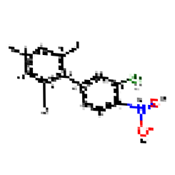 Cc1cc(C)c(-c2ccc([N+](=O)[O-])c(Br)c2)c(C)c1